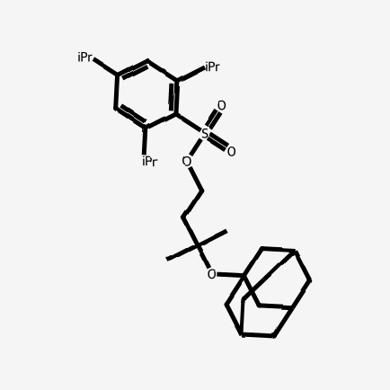 CC(C)c1cc(C(C)C)c(S(=O)(=O)OCCC(C)(C)OC23CC4CC(CC(C4)C2)C3)c(C(C)C)c1